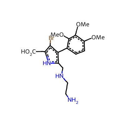 COc1ccc(-c2c(CNCCN)[nH]c(C(=O)O)c2Br)c(OC)c1OC